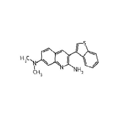 CN(C)c1ccc2cc(-c3csc4ccccc34)c(N)nc2c1